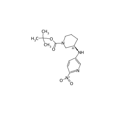 CC(C)(C)OC(=O)N1CCC[C@@H](Nc2ccc([N+](=O)[O-])nc2)C1